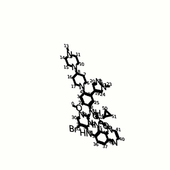 COc1cc(N2CCC(N3CCN(C)CC3)CC2)c(-c2cnn(C)c2)cc1Nc1ncc(Br)c(Nc2ccc3nccnc3c2NS(=O)(=O)C2CC2)n1